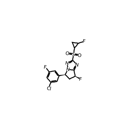 O=S(=O)(c1nc2n(n1)[C@H](c1cc(F)cc(Cl)c1)C[C@@H]2F)C1CC1F